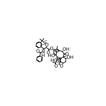 CC(=O)O[C@@]12COC1CC(O)C1(C)C(=O)C(O)C3=C(C)[C@@H](OC(=O)C(O[Si](C)(C)C(C)(C)C)[C@@H](NC(=O)c4ccccc4)c4ccccc4)CC(O)([C@@H](O)[C@@H]12)C3(C)C